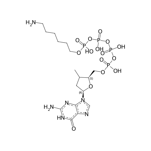 CC1C[C@H](n2cnc3c(=O)[nH]c(N)nc32)O[C@@H]1COP(=O)(O)OP(=O)(O)OP(=O)(O)OP(=O)(O)OCCCCCCN